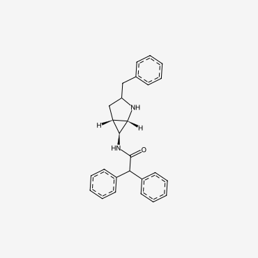 O=C(N[C@H]1[C@@H]2CC(Cc3ccccc3)N[C@@H]21)C(c1ccccc1)c1ccccc1